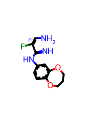 N=C(Nc1ccc2c(c1)OCCCO2)/C(F)=C\N